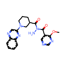 COc1ncncc1C(=O)N(N)C(=O)C1CCCN(c2cnc3ccccc3n2)C1